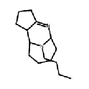 [CH2]CCCN1C2CCCCC1C1CCCC1=N2